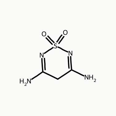 NC1=NS(=O)(=O)N=C(N)C1